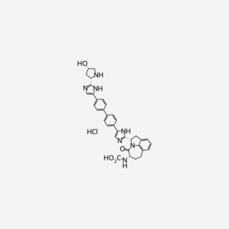 Cl.O=C(O)N[C@H]1CCc2cccc3c2N(C1=O)[C@H](c1ncc(-c2ccc(-c4ccc(-c5cnc([C@@H]6C[C@H](O)CN6)[nH]5)cc4)cc2)[nH]1)C3